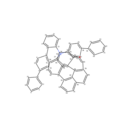 c1ccc(-c2ccc(-c3ccccc3N(c3ccc(-c4ccccc4)cc3)c3cccc(-c4cccc5ccc6ccc7ccccc7c6c45)c3)cc2)cc1